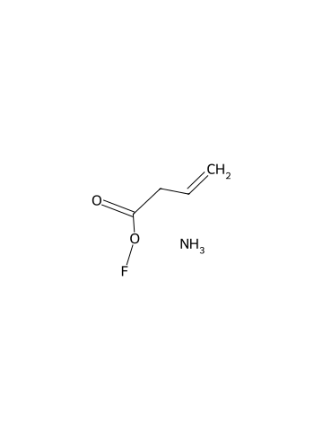 C=CCC(=O)OF.N